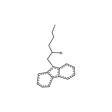 CCCCC(Br)Cn1c2ccccc2c2ccccc21